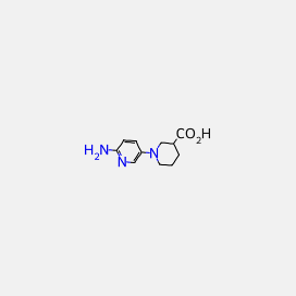 Nc1ccc(N2CCCC(C(=O)O)C2)cn1